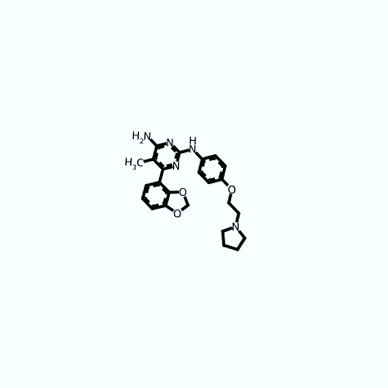 Cc1c(N)nc(Nc2ccc(OCCN3CCCC3)cc2)nc1-c1cccc2c1OCO2